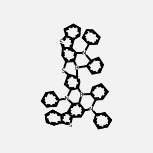 c1ccc(N2c3ccccc3B3c4cc5c(cc4N(c4ccccc4)c4c3c2cc2sc3ccccc3c42)Sc2cc3sc4ccccc4c3c3c2B5c2ccccc2N3c2ccccc2)cc1